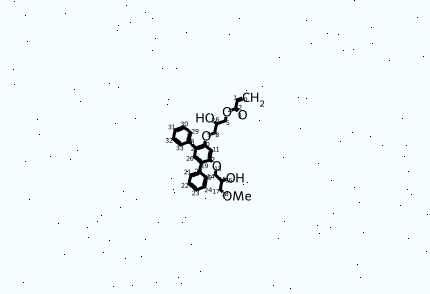 C=CC(=O)OCC(O)COc1cc(OCC(O)COC)c(-c2ccccc2)cc1-c1ccccc1